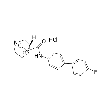 Cl.O=C(Nc1ccc(-c2ccc(F)cc2)cc1)[C@H]1CN2CCC1CC2